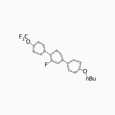 CCCCOc1ccc(-c2ccc(-c3ccc(OC(F)(F)F)cc3)c(F)c2)cc1